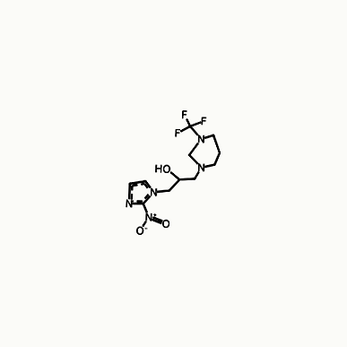 O=[N+]([O-])c1nccn1CC(O)CN1CCCN(C(F)(F)F)C1